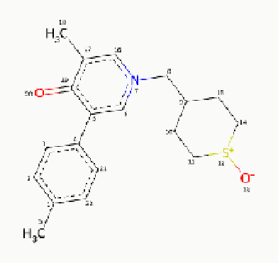 Cc1ccc(-c2cn(CC3CC[S+]([O-])CC3)cc(C)c2=O)cc1